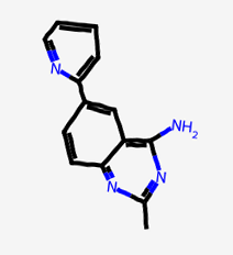 Cc1nc(N)c2cc(-c3ccccn3)ccc2n1